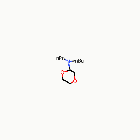 CCCCN(CCC)C1COCCO1